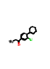 CC(C)(C)CC(=O)c1ccc(C2CCCCC2)c(Cl)c1